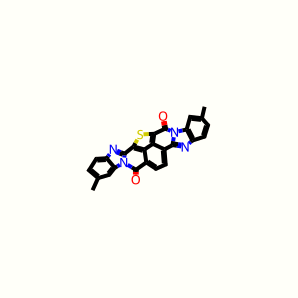 Cc1ccc2nc3c4ccc5c(=O)n6c7cc(C)ccc7nc6c6sc(c(=O)n3c2c1)c4c56